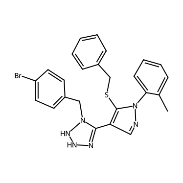 Cc1ccccc1-n1ncc(C2=NNNN2Cc2ccc(Br)cc2)c1SCc1ccccc1